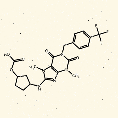 Cn1c(N[C@H]2CCC(OC(=O)O)C2)nc2c1c(=O)n(Cc1ccc(C(F)(F)F)cc1)c(=O)n2C